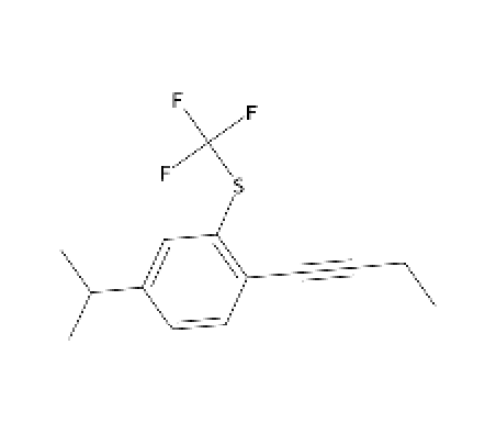 CCC#Cc1ccc(C(C)C)cc1SC(F)(F)F